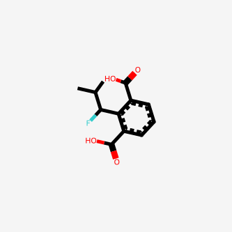 CC(C)C(F)c1c(C(=O)O)cccc1C(=O)O